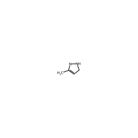 CC1=CCN[N]1